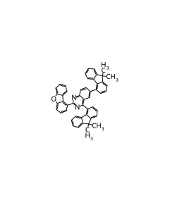 CC1(C)c2ccccc2-c2c(-c3ccc4nc(-c5cccc6oc7ccccc7c56)nc(-c5cccc6c5-c5ccccc5C6(C)C)c4c3)cccc21